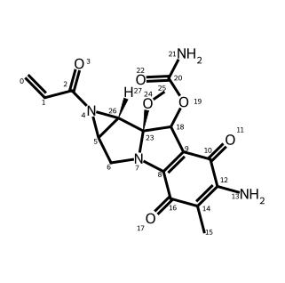 C=CC(=O)N1C2CN3C4=C(C(=O)C(N)=C(C)C4=O)C(OC(N)=O)[C@@]3(OC)[C@H]21